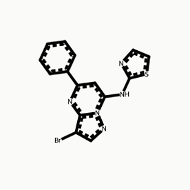 Brc1cnn2c(Nc3nccs3)cc(-c3ccccc3)nc12